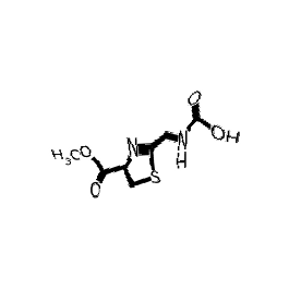 COC(=O)C1CSC(CNC(=O)O)=N1